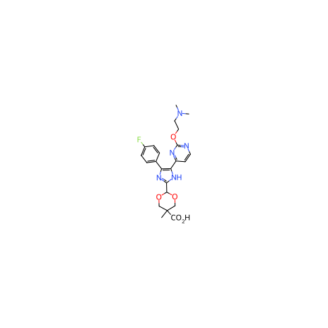 CN(C)CCOc1nccc(-c2[nH]c(C3OCC(C)(C(=O)O)CO3)nc2-c2ccc(F)cc2)n1